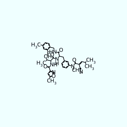 Cc1ccc(CNC(=O)C(Cc2cccc(N(C)C(=O)C(C#N)=CC(C)C)c2)NC(=O)C(NC(=O)c2cc(C)on2)C(C)O)c(F)c1